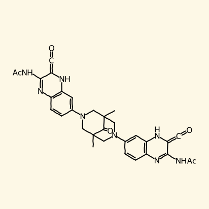 CC(=O)NC1=Nc2ccc(N3CC4(C)CN(c5ccc6c(c5)NC(=C=O)C(NC(C)=O)=N6)CC(C)(C3)C4=O)cc2NC1=C=O